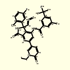 CCn1cc(-c2cc(NC(=O)c3cc(F)cc(C(F)(F)F)c3)c3c(n2)C(=O)NC3(C=S=S)c2cc(F)ccc2Cl)ccc1=O